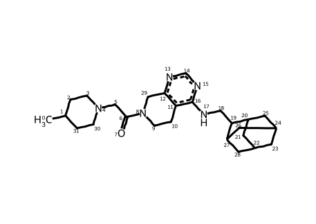 CC1CCN(CC(=O)N2CCc3c(ncnc3NCC3C4CC5CC(C4)CC3C5)C2)CC1